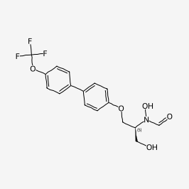 O=CN(O)[C@@H](CO)COc1ccc(-c2ccc(OC(F)(F)F)cc2)cc1